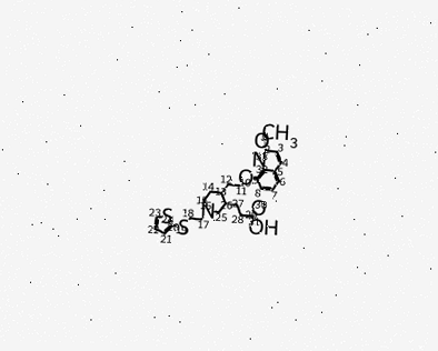 COc1ccc2cccc(OCC[C@@H]3CCN(CCSc4cccs4)C[C@@H]3CCC(=O)O)c2n1